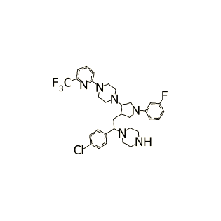 Fc1cccc(N2CC(CC(c3ccc(Cl)cc3)N3CCNCC3)C(N3CCN(c4cccc(C(F)(F)F)n4)CC3)C2)c1